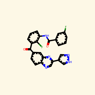 O=C(Nc1cccc(C(=O)c2ccc3ncc(-c4cn[nH]c4)nc3c2)c1F)c1cccc(F)c1